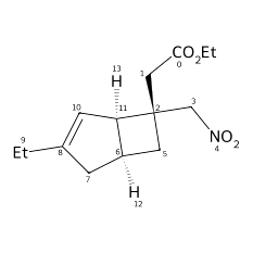 CCOC(=O)C[C@@]1(C[N+](=O)[O-])C[C@H]2CC(CC)=C[C@H]21